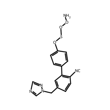 [C-]#[N+]c1ccc(Cn2cncn2)cc1-c1ccc(OSOON)cc1